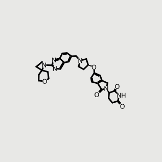 O=C1CCC(N2Cc3cc(O[C@H]4CCN(Cc5ccc6nc(N7CCC78CCOCC8)ncc6c5)C4)ccc3C2=O)C(=O)N1